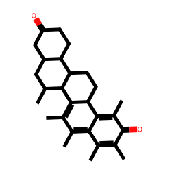 CC1=C(C)C2=C(C)C(C)=C3C(CCC4C5CCC(=O)CC5CC(C)C34)C2=C(C)C1=O